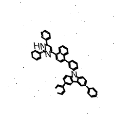 C/C=C\C(=C/C)c1ccc2c(c1)c1cc(-c3ccccc3)ccc1n2-c1cccc(-c2ccc(C3=CC(c4ccccc4)NC(C4=CCCC=C4)=N3)c3ccccc23)c1